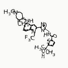 C[C@H]1CN(C)CC[C@H]1Nc1cccc2c1cc(-c1noc(CNC(=O)c3ccc(C(C)(C)O)s3)n1)n2CC(F)(F)F